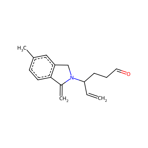 C=CC(CCC=O)N1Cc2cc(C)ccc2C1=C